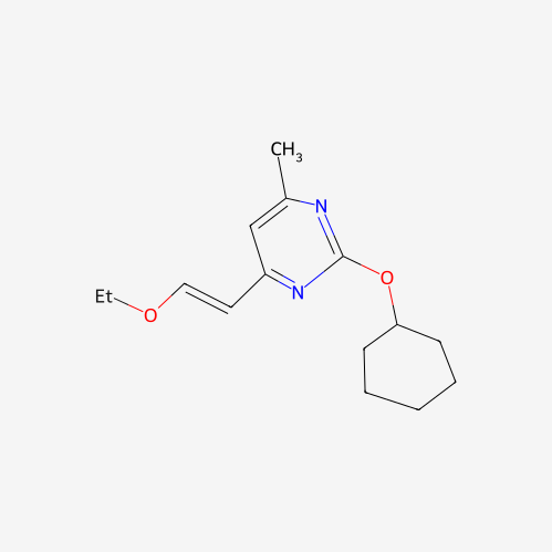 CCOC=Cc1cc(C)nc(OC2CCCCC2)n1